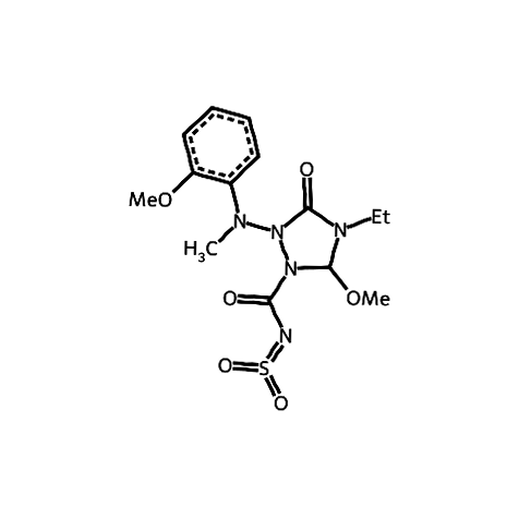 CCN1C(=O)N(N(C)c2ccccc2OC)N(C(=O)N=S(=O)=O)C1OC